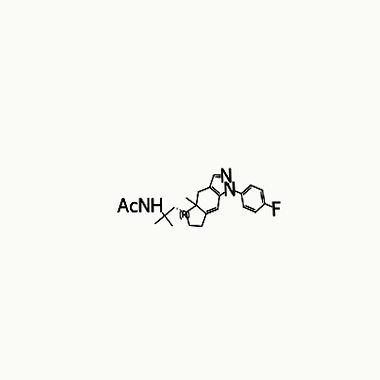 CC(=O)NC(C)(C)C[C@H]1CCC2=Cc3c(cnn3-c3ccc(F)cc3)CC21C